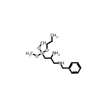 CCCO[Si](CC(N)CNCc1ccccc1)(OC)OC